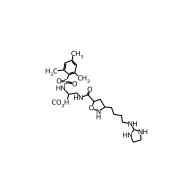 Cc1cc(C)c(S(=O)(=O)NC(CNC(=O)C2CC(CCCCNC3NCCN3)NO2)C(=O)O)c(C)c1